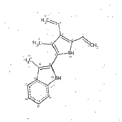 C=CC1=C(C=C)C(C)=C(C2=C(C)c3ccccc3B2)B1